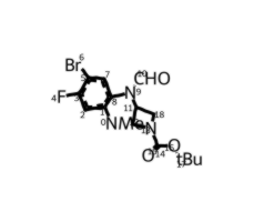 CNc1cc(F)c(Br)cc1N(C=O)C1CN(C(=O)OC(C)(C)C)C1